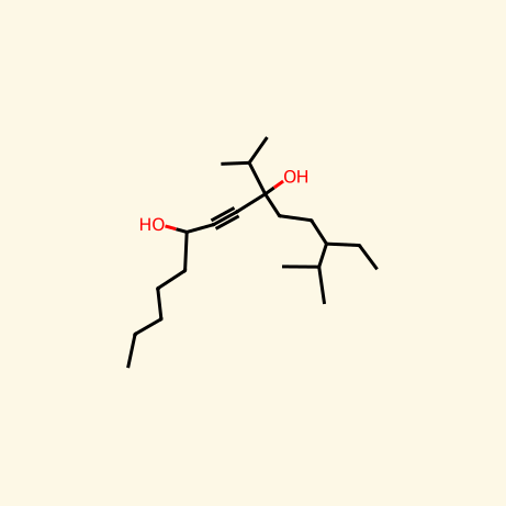 CCCCCC(O)C#CC(O)(CCC(CC)C(C)C)C(C)C